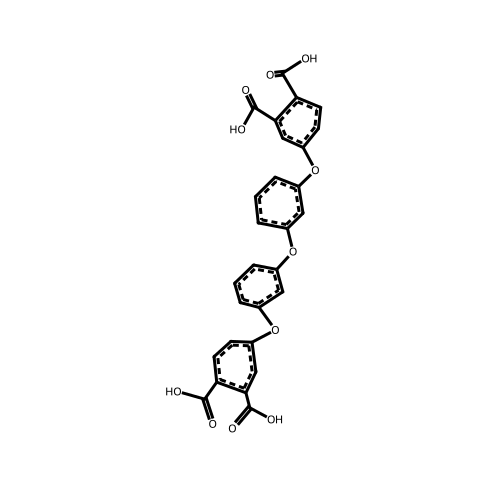 O=C(O)c1ccc(Oc2cccc(Oc3cccc(Oc4ccc(C(=O)O)c(C(=O)O)c4)c3)c2)cc1C(=O)O